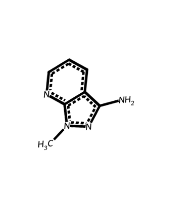 Cn1nc(N)c2cccnc21